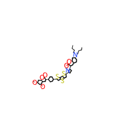 CCCCN(CCCC)c1ccc2cc(-c3ccc(-c4cc5sc6cc(-c7ccc(-c8cc9c(OC)cc(OC)cc9oc8=O)cc7)sc6c5s4)n3C)c(=O)oc2c1